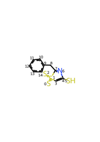 S=S1(=S)C=C(S)N=C1Cc1ccccc1